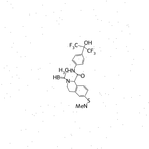 B=C(C)N1CCc2cc(SNC)ccc2C1C(=O)Nc1ccc(C(O)(C(F)(F)F)C(F)(F)F)cc1